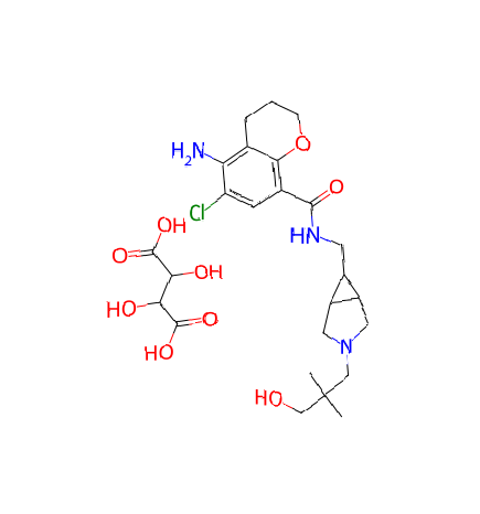 CC(C)(CO)CN1CC2C(CNC(=O)c3cc(Cl)c(N)c4c3OCCC4)C2C1.O=C(O)C(O)C(O)C(=O)O